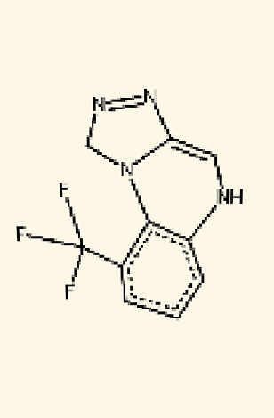 FC(F)(F)c1cccc2c1N1CN=NC1=CN2